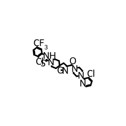 O=C(C1=NOC2(CCN(C(=S)Nc3cc(C(F)(F)F)ccc3Cl)CC2)C1)N1CCN(c2ncccc2Cl)CC1